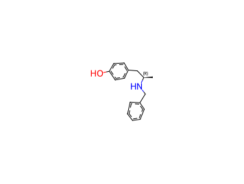 C[C@H](Cc1ccc(O)cc1)NCc1ccccc1